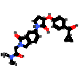 CN(C)C(=O)CN1Cc2ccc(N3CC[C@@H](Oc4ccc(C(=O)C5CC5)cc4)C3=O)cc2C1=O